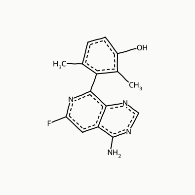 Cc1ccc(O)c(C)c1-c1nc(F)cc2c(N)ncnc12